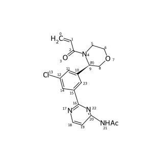 C=CC(=O)N1CCOC[C@H]1c1cc(Cl)cc(-c2nccc(NC(C)=O)n2)c1